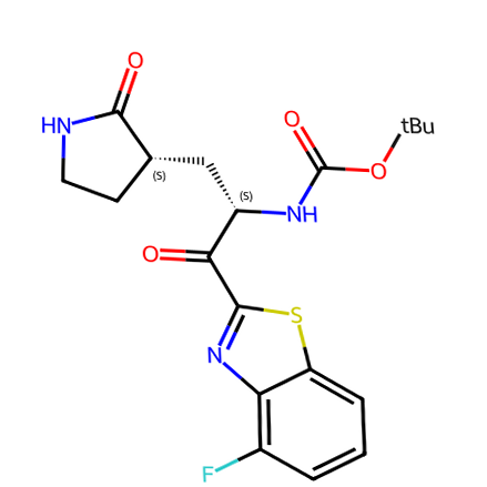 CC(C)(C)OC(=O)N[C@@H](C[C@@H]1CCNC1=O)C(=O)c1nc2c(F)cccc2s1